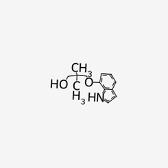 CC(C)(CO)COc1cccc2cc[nH]c12